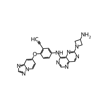 C#Cc1cc(Nc2ncnc3cnc(N4CC(N)C4)nc23)ccc1Oc1ccn2ncnc2c1